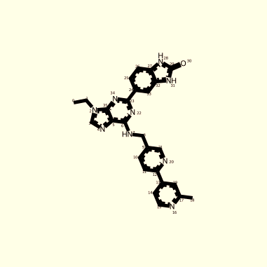 CCn1cnc2c(NCc3ccc(-c4ccnc(C)c4)nc3)nc(-c3ccc4[nH]c(=O)[nH]c4c3)nc21